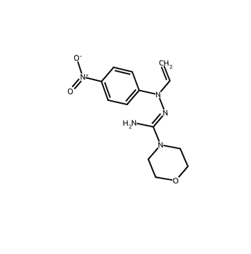 C=CN(/N=C(\N)N1CCOCC1)c1ccc([N+](=O)[O-])cc1